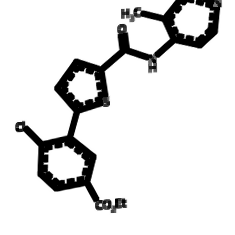 CCOC(=O)c1ccc(Cl)c(-c2ccc(C(=O)Nc3ccncc3C)s2)c1